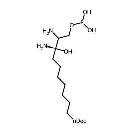 CCCCCCCCCCCCCCCCC[C@@](N)(O)C(N)COP(O)O